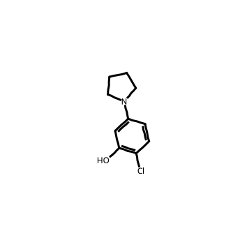 Oc1cc(N2CCCC2)ccc1Cl